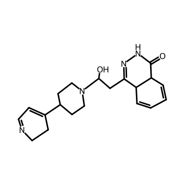 O=C1NN=C(CC(O)N2CCC(C3=CC=NCC3)CC2)C2C=CC=CC12